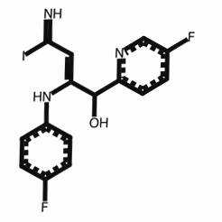 N=C(I)/C=C(\Nc1ccc(F)cc1)C(O)c1ccc(F)cn1